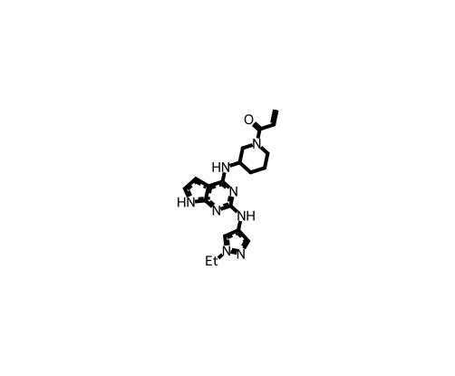 C=CC(=O)N1CCCC(Nc2nc(Nc3cnn(CC)c3)nc3[nH]ccc23)C1